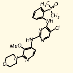 COc1c(Nc2ncc(Cl)c(Nc3ccccc3P(C)(C)=O)n2)ccnc1N1CCOCC1